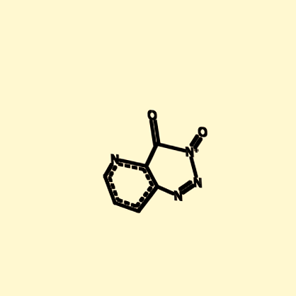 O=C1c2ncccc2N=N[N+]1=O